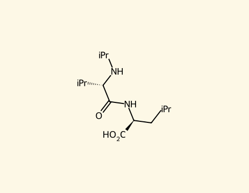 CC(C)C[C@H](NC(=O)[C@@H](NC(C)C)C(C)C)C(=O)O